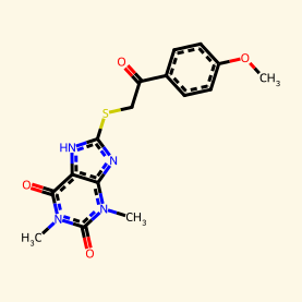 COc1ccc(C(=O)CSc2nc3c([nH]2)c(=O)n(C)c(=O)n3C)cc1